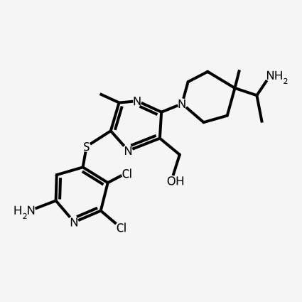 Cc1nc(N2CCC(C)(C(C)N)CC2)c(CO)nc1Sc1cc(N)nc(Cl)c1Cl